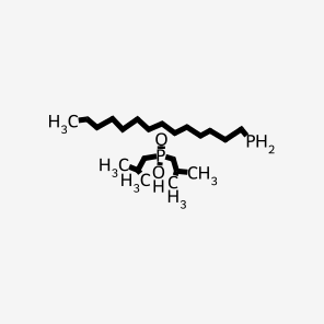 CC(C)CP(=O)(O)CC(C)C.CCCCCCCCCCCCCCP